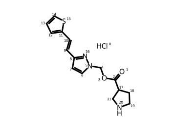 Cl.O=C(OCn1ccc(/C=C/c2cccs2)n1)C1CCNC1